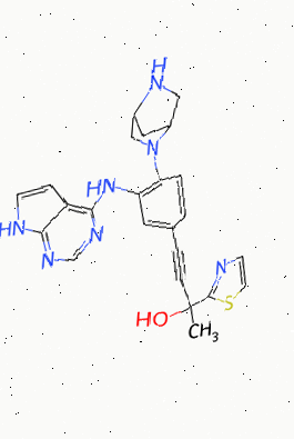 CC(O)(C#Cc1ccc(N2CC3CC2CN3)c(Nc2ncnc3[nH]ccc23)c1)c1nccs1